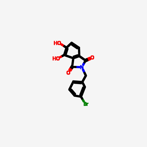 O=C1c2ccc(O)c(O)c2C(=O)N1Cc1cccc(Br)c1